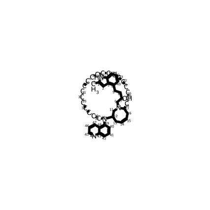 Cc1cc2c(CCC(O)CN3CC4CC=CCC3CCCCCCCCCCCCCCCCCCCCN4c3cccc4ncccc34)cccc2[nH]1